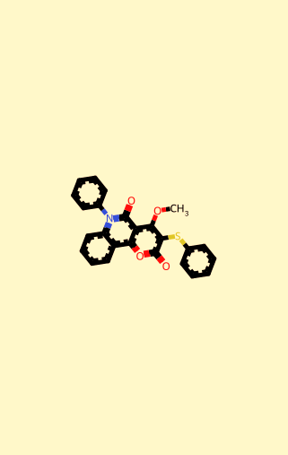 COc1c(Sc2ccccc2)c(=O)oc2c1c(=O)n(-c1ccccc1)c1ccccc21